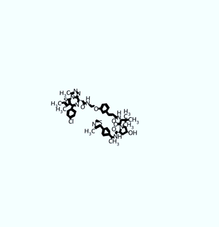 Cc1ncsc1-c1ccc([C@H](C)NC(=O)[C@@H]2C[C@@H](O)CN2C(=O)C(NC(=O)/C=C/c2cccc(OCCNC(=O)C[C@@H]3N=C(c4ccc(Cl)cc4)c4c(sc(C)c4C)-n4c(C)nnc43)c2)C(C)(C)C)cc1